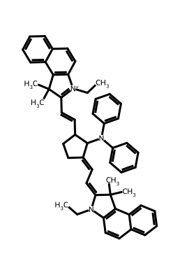 CCN1/C(=C/C=C2\CCC(/C=C/C3=[N+](CC)c4ccc5ccccc5c4C3(C)C)C2N(c2ccccc2)c2ccccc2)C(C)(C)c2c1ccc1ccccc21